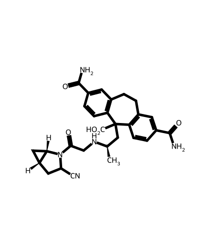 C[C@H](CC1(C(=O)O)c2ccc(C(N)=O)cc2CCc2cc(C(N)=O)ccc21)NCC(=O)N1C(C#N)C[C@@H]2C[C@@H]21